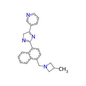 CC1CN(Cc2ccc(C3=NCC(c4cccnc4)=N3)c3ccccc23)C1